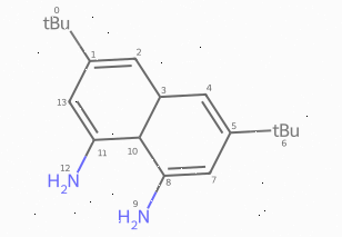 CC(C)(C)C1=CC2C=C(C(C)(C)C)C=C(N)C2C(N)=C1